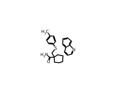 Cc1ccc(SCC2(C(N)=O)CCCCC2)cc1.c1ccc2ncccc2c1